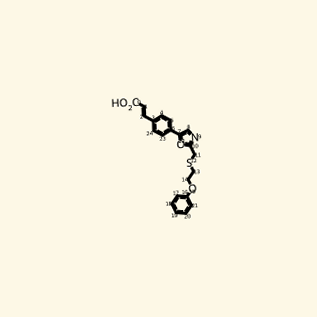 O=C(O)C=Cc1ccc(-c2cnc(CSCCOc3ccccc3)o2)cc1